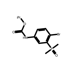 CC(C)OC(=O)Nc1ccc(Br)c(P(C)(C)=O)c1